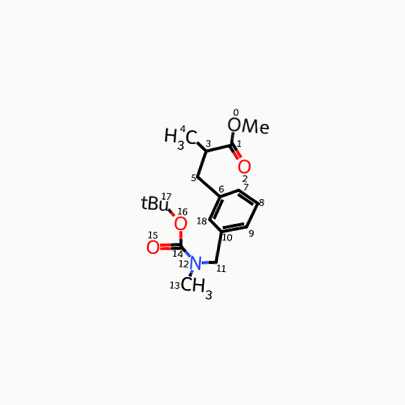 COC(=O)C(C)Cc1cccc(CN(C)C(=O)OC(C)(C)C)c1